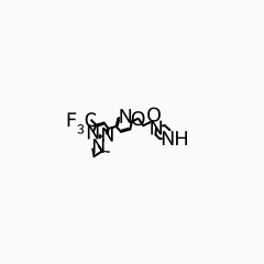 C[C@H]1CCN1c1nc(-c2ccc(OCC(=O)N3CCNCC3)nc2)cc(C(F)(F)F)n1